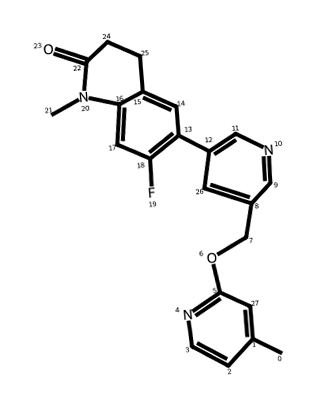 Cc1ccnc(OCc2cncc(-c3cc4c(cc3F)N(C)C(=O)CC4)c2)c1